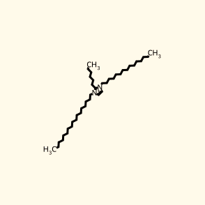 CCCCCCCCCCCCCCCCC[n+]1ccn(CCCCCCCCCCCCCCC)c1CCCCCC